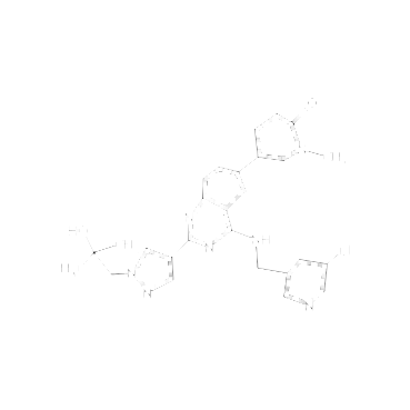 Cn1cc(-c2ccc3nc(-c4cnn(CC(C)(C)O)c4)nc(NCc4cncc(Cl)c4)c3c2)ccc1=O